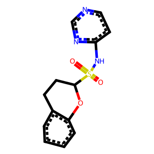 O=S(=O)(Nc1ccncn1)C1CCc2ccccc2O1